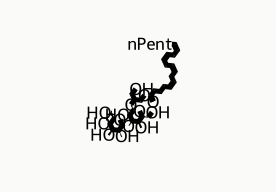 CCCCC/C=C\C/C=C\C/C=C\C/C=C\CCCC(=O)OCC(CO)O[C@@H]1O[C@H](CO)[C@@H](O)[C@H](O[C@@H]2O[C@H](CO)[C@@H](O)[C@H](O)[C@H]2O)[C@H]1O